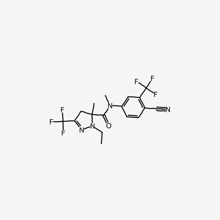 CCN1N=C(C(F)(F)F)CC1(C)C(=O)N(C)c1ccc(C#N)c(C(F)(F)F)c1